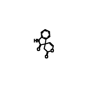 O=C1CC2(C=CO1)C(=O)Nc1ccccc12